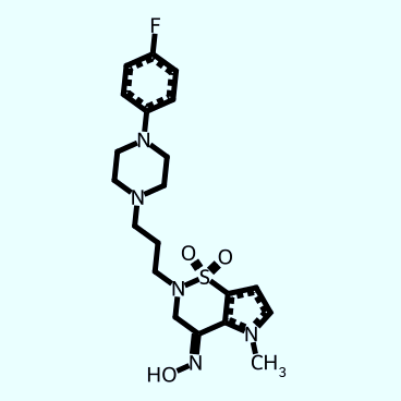 Cn1ccc2c1/C(=N/O)CN(CCCN1CCN(c3ccc(F)cc3)CC1)S2(=O)=O